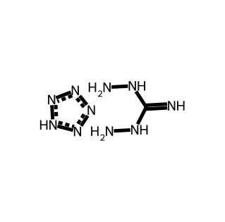 N=C(NN)NN.n1nn[nH]n1